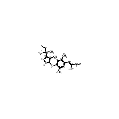 CNC(=Nc1cc(C)c(Oc2snc(C(C)(C)CF)c2C#N)cc1C)C(C)C